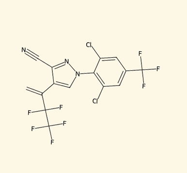 C=C(c1cn(-c2c(Cl)cc(C(F)(F)F)cc2Cl)nc1C#N)C(F)(F)C(F)(F)F